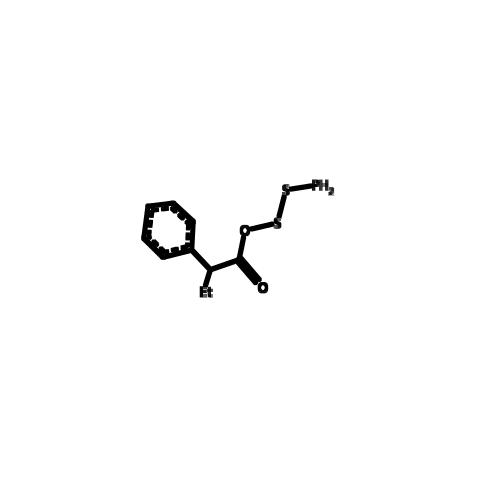 CCC(C(=O)OSSP)c1ccccc1